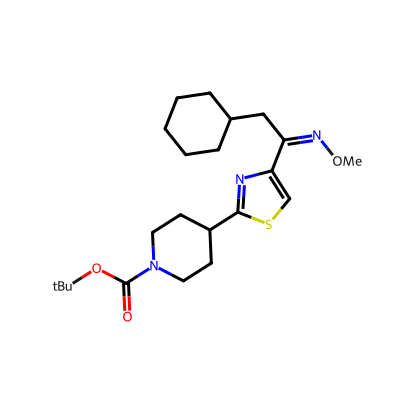 CO/N=C(/CC1CCCCC1)c1csc(C2CCN(C(=O)OC(C)(C)C)CC2)n1